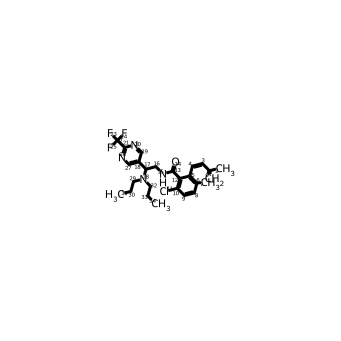 C=C(C)/C=C\c1c(C)ccc(Cl)c1C(=O)NCC(c1cnc(C(F)(F)F)nc1)N(CCC)CCC